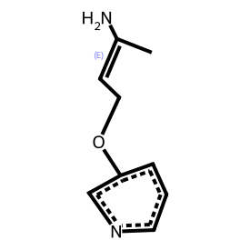 C/C(N)=C\COc1cccnc1